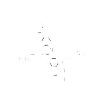 COC(=O)c1ccc(NC(=O)c2ccc(NC(C)=O)c(OCCCN)c2)c(OCCCN)c1